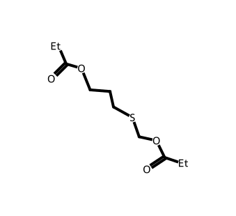 CCC(=O)OCCCSCOC(=O)CC